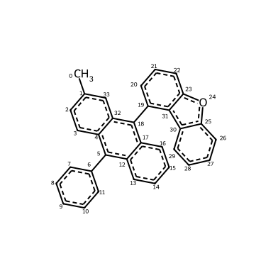 Cc1ccc2c(-c3ccccc3)c3ccccc3c(-c3cccc4oc5ccccc5c34)c2c1